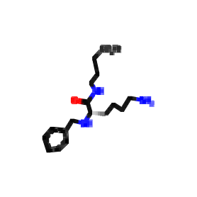 CCOC(=O)CCCNC(=O)[C@H](CCCCN)NCc1ccccc1